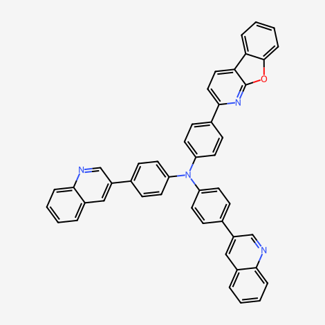 c1ccc2ncc(-c3ccc(N(c4ccc(-c5cnc6ccccc6c5)cc4)c4ccc(-c5ccc6c(n5)oc5ccccc56)cc4)cc3)cc2c1